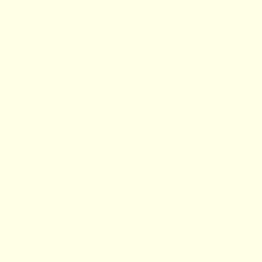 C=C(CS(=O)(=O)O)C(=O)O